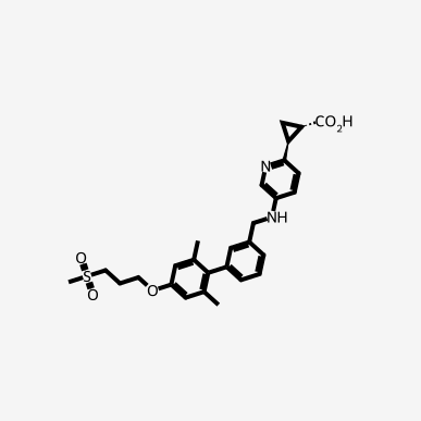 Cc1cc(OCCCS(C)(=O)=O)cc(C)c1-c1cccc(CNc2ccc([C@H]3C[C@@H]3C(=O)O)nc2)c1